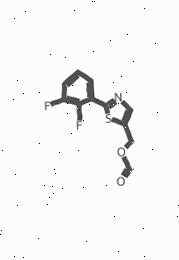 O=[C]OCc1cnc(-c2cccc(F)c2F)s1